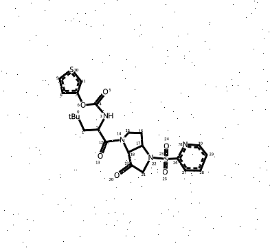 CC(C)(C)CC(NC(=O)Oc1ccsc1)C(=O)N1CCC2C1C(=O)CN2S(=O)(=O)c1ccccn1